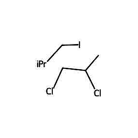 CC(C)CI.CC(Cl)CCl